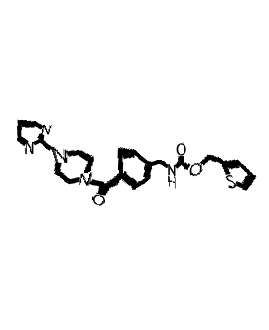 O=C(NCc1ccc(C(=O)N2CCN(c3ncccn3)CC2)cc1)OCc1cccs1